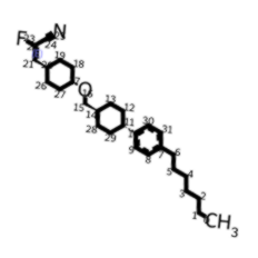 CCCCCCCc1ccc([C@H]2CC[C@H](CO[C@H]3CC[C@H](/C=C(/F)C#N)CC3)CC2)cc1